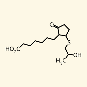 CC(O)CSC1CCC(=O)C1CCCCCCC(=O)O